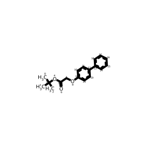 CC(C)(C)OC(=O)COc1ccc(-c2ccccc2)cc1